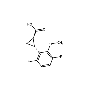 COc1c(F)ccc(F)c1[C@@H]1C[C@H]1C(=O)O